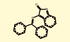 O=C1N=c2ccccc2=C1N=C(c1ccccc1)c1ccccc1